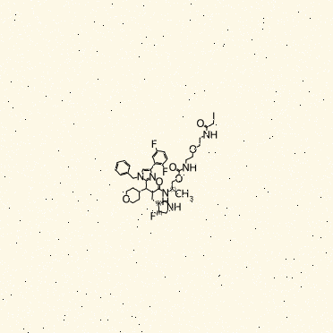 C[C@@H](COC(=O)NCCOCCNC(=O)CI)NC(=O)C(C[C@@H]1CNC[C@@H]1F)C(c1nc(-c2cc(F)ccc2F)cn1Cc1ccccc1)C1CCOCC1